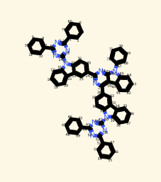 c1ccc(-c2nc(-c3ccccc3)nc(-n3c4ccccc4c4cc(-c5nc(-c6ccc7c(c6)c6ccccc6n7-c6nc(-c7ccccc7)nc(-c7ccccc7)n6)c6c7ccccc7n(-c7ccccc7)c6n5)ccc43)n2)cc1